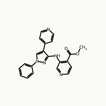 COC(=O)c1ccncc1Nc1nn(-c2ccccc2)cc1-c1ccncc1